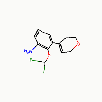 Nc1cccc(C2=CCOCC2)c1OC(F)F